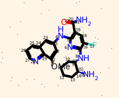 COc1cc(Nc2nc(N[C@@H]3CCCC[C@@H]3N)c(F)cc2C(N)=O)cc2cccnc12